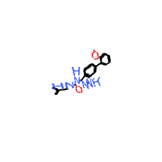 COc1ccccc1-c1ccc2c(NC(=O)NCC(C)C)n[nH]c2c1